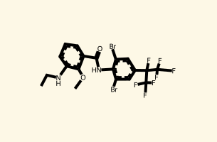 CCNc1cccc(C(=O)Nc2c(Br)cc(C(F)(C(F)(F)F)C(F)(F)F)cc2Br)c1OC